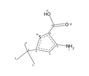 CC(C)(C)c1cc(N)c(C(=O)O)s1